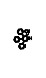 N#Cc1ccccc1-c1c(-c2ccccc2)c(-c2ccccn2)c[nH]c1=O